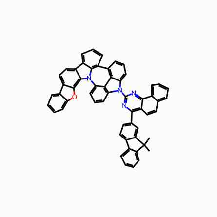 CC1(C)c2ccccc2-c2ccc(-c3nc(-n4c5cccc6c7cccc8c9ccc%10c%11ccccc%11oc%10c9n(c9cccc4c9c65)c78)nc4c3ccc3ccccc34)cc21